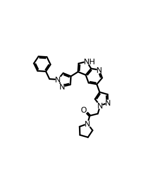 O=C(Cn1cc(-c2cnc3[nH]cc(-c4cnn(Cc5ccccc5)c4)c3c2)cn1)N1CCCC1